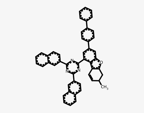 CC1C=Cc2c(oc3cc(-c4ccc(-c5ccccc5)cc4)cc(-c4nc(-c5ccc6ccccc6c5)nc(-c5ccc6ccccc6c5)n4)c23)C1